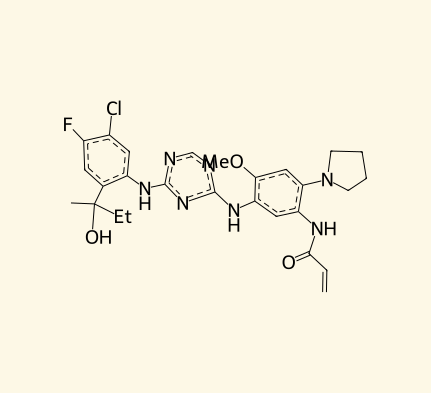 C=CC(=O)Nc1cc(Nc2ncnc(Nc3cc(Cl)c(F)cc3C(C)(O)CC)n2)c(OC)cc1N1CCCC1